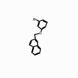 Brc1cccc(OCc2ccc3ccccc3c2)c1